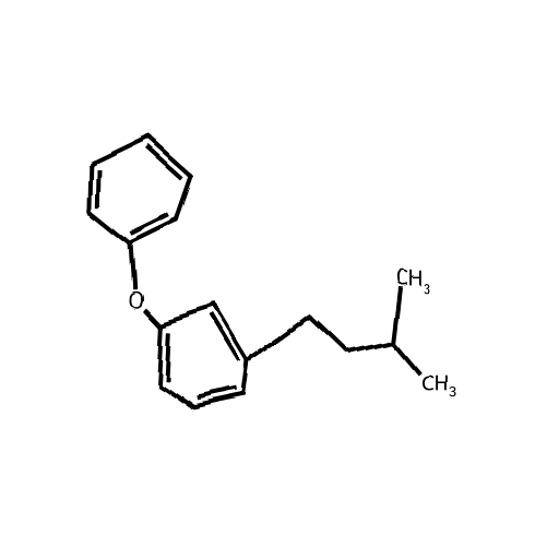 CC(C)CCc1cccc(Oc2ccccc2)c1